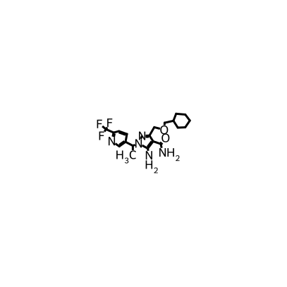 CC(c1ccc(C(F)(F)F)nc1)n1nc(COCC2CCCCC2)c(C(N)=O)c1N